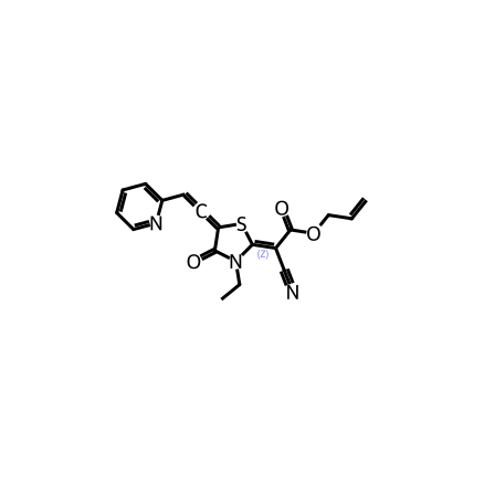 C=CCOC(=O)/C(C#N)=c1\sc(=C=Cc2ccccn2)c(=O)n1CC